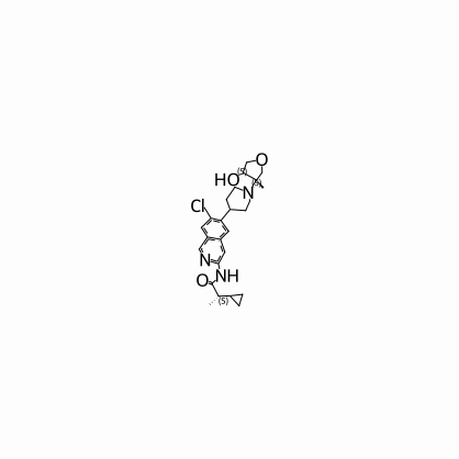 C[C@H](C(=O)Nc1cc2cc(C3CCN([C@@]4(C)COC[C@H]4O)CC3)c(Cl)cc2cn1)C1CC1